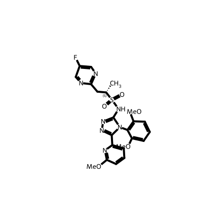 COc1cccc(-c2nnc(NS(=O)(=O)[C@@H](C)Cc3ncc(F)cn3)n2-c2c(OC)cccc2OC)n1